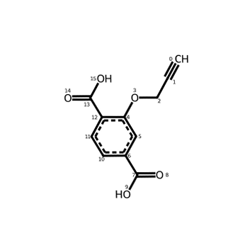 C#CCOc1cc(C(=O)O)ccc1C(=O)O